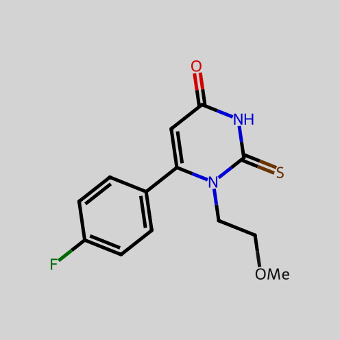 COCCn1c(-c2ccc(F)cc2)cc(=O)[nH]c1=S